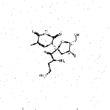 Cc1cn([C@@]2(C(=O)C(N)CCC(=O)O)C[C@H](O)[C@@H](CO)O2)c(=O)[nH]c1=O